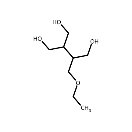 CCOCC(CO)C(CO)CO